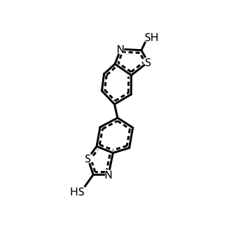 Sc1nc2ccc(-c3ccc4nc(S)sc4c3)cc2s1